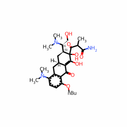 CCCCOc1ccc(N(C)C)c2c1C(=O)C1=C(O)C(O)(C(=O)C(C)C(N)=O)[C@H]([C@@H](CO)N(C)C)C[C@@H]1C2